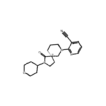 N#Cc1cccnc1N1CCC[C@@]2(CCN(C3CCOCC3)C2=O)C1